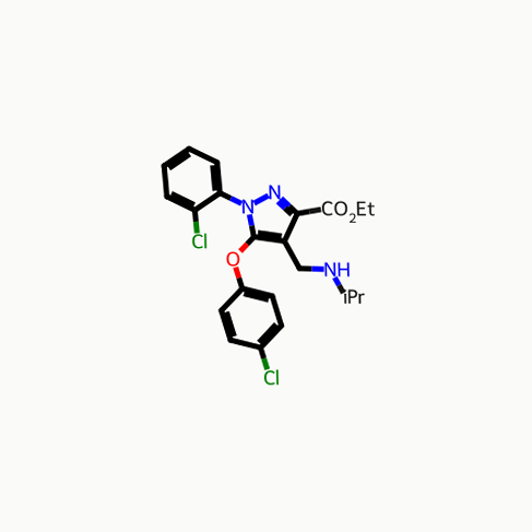 CCOC(=O)c1nn(-c2ccccc2Cl)c(Oc2ccc(Cl)cc2)c1CNC(C)C